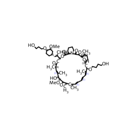 CO[C@@H]1C[C@H](C[C@@H](C)[C@@H]2CC(=O)[C@H](C)/C=C(\C)[C@@H](O)[C@@H](OC)C(=O)[C@H](C)C[C@H](C)/C=C/C=C/C=C(\C)C(OCCCCO)C[C@@H]3CC[C@@H](C)[C@@](O)(O3)C(=O)C(=O)N3CCCC[C@H]3C(=O)O2)CC[C@H]1OCCCO